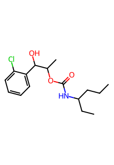 CCCC(CC)NC(=O)OC(C)C(O)c1ccccc1Cl